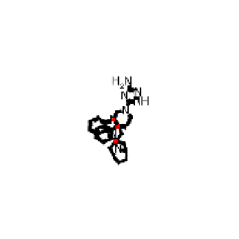 Cc1nc2ccccc2n1C1CC2CCC(C1)N2CCC1(c2ccccc2)CCN(c2nc(N)n[nH]2)CC1